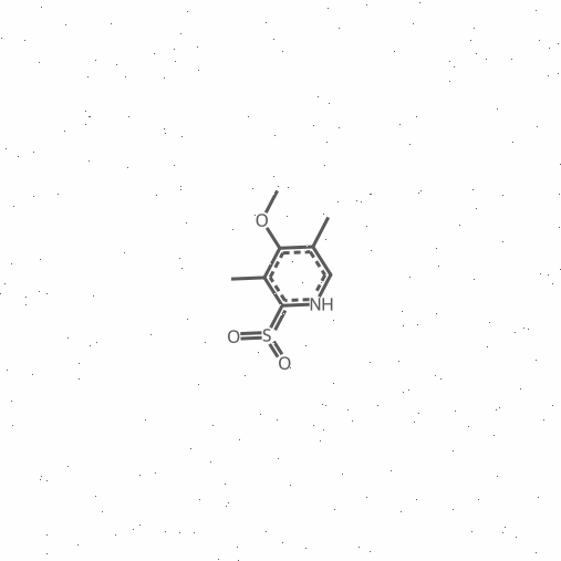 COc1c(C)c[nH]c(=S(=O)=O)c1C